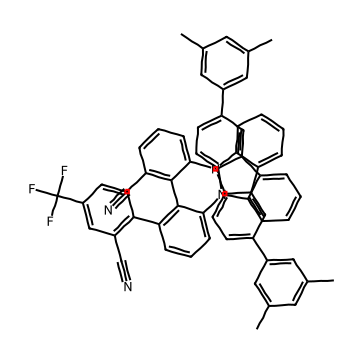 Cc1cc(C)cc(-c2ccc3c(c2)c2ccccc2n3-c2cccc(C#N)c2-c2c(-c3ccc(C(F)(F)F)cc3C#N)cccc2-n2c3ccccc3c3cc(-c4cc(C)cc(C)c4)ccc32)c1